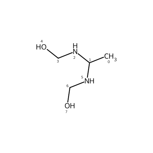 CC(NCO)NCO